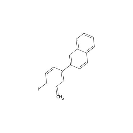 C=C/C=C(\C=C/CI)c1ccc2ccccc2c1